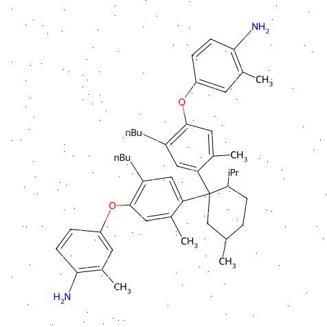 CCCCc1cc(C2(c3cc(CCCC)c(Oc4ccc(N)c(C)c4)cc3C)CC(C)CCC2C(C)C)c(C)cc1Oc1ccc(N)c(C)c1